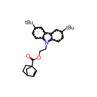 CC(C)(C)c1ccc2c(c1)c1cc(C(C)(C)C)ccc1n2CCOC(=O)C12C=CC(CC1)C2